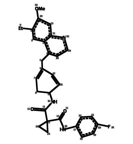 CCc1cc2c(CC3=CCC(NC(=O)C4(C(=O)Nc5ccc(F)cc5)CC4)C=C3)ccnc2cc1OC